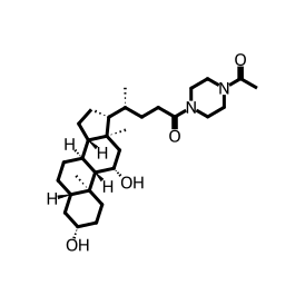 CC(=O)N1CCN(C(=O)CC[C@@H](C)[C@H]2CC[C@H]3[C@@H]4CC[C@H]5C[C@@H](O)CC[C@]5(C)[C@H]4[C@@H](O)C[C@]23C)CC1